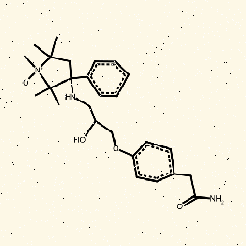 CC1(C)CC(NCC(O)COc2ccc(CC(N)=O)cc2)(c2ccccc2)C(C)(C)[N+]1(C)[O]